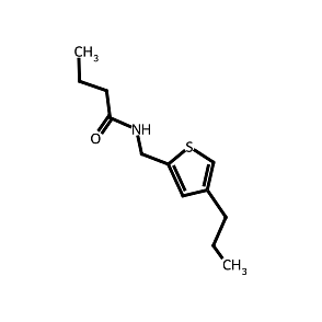 CCCC(=O)NCc1cc(CCC)cs1